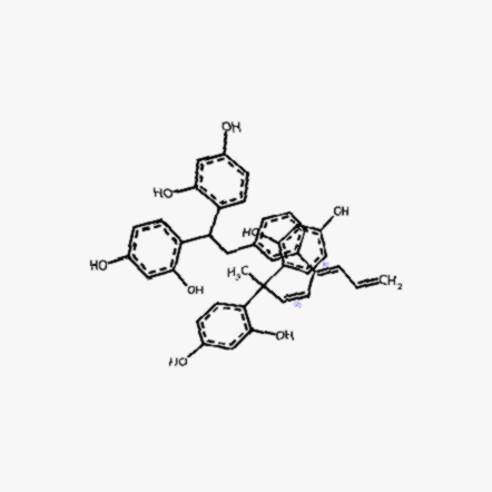 C=C/C=C(\C=C/C(C)(c1ccc(O)cc1O)c1ccc(O)cc1O)c1cccc(CC(c2ccc(O)cc2O)c2ccc(O)cc2O)c1